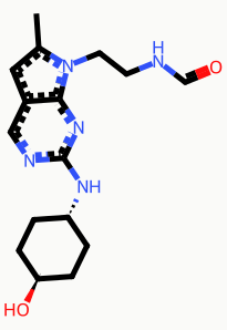 Cc1cc2cnc(N[C@H]3CC[C@H](O)CC3)nc2n1CCNC=O